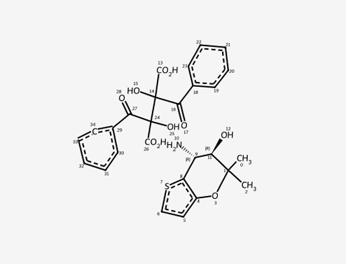 CC1(C)Oc2ccsc2[C@H](N)[C@H]1O.O=C(O)C(O)(C(=O)c1ccccc1)C(O)(C(=O)O)C(=O)c1ccccc1